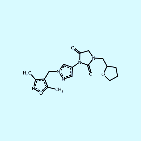 Cc1noc(C)c1Cn1cc(N2C(=O)CN(CC3CCCO3)C2=O)cn1